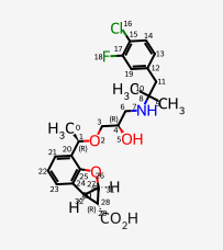 C[C@@H](OC[C@H](O)CNC(C)(C)Cc1ccc(Cl)c(F)c1)c1cccc2c1O[C@H]1[C@H](C(=O)O)[C@@H]21